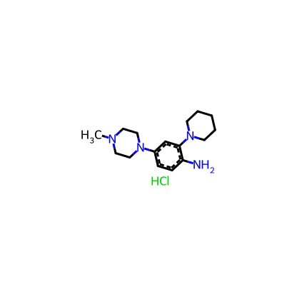 CN1CCN(c2ccc(N)c(N3CCCCC3)c2)CC1.Cl